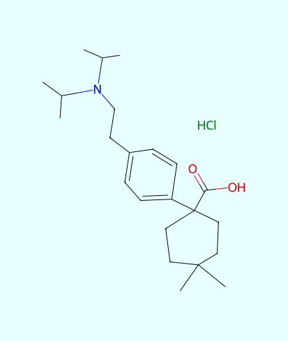 CC(C)N(CCc1ccc(C2(C(=O)O)CCC(C)(C)CC2)cc1)C(C)C.Cl